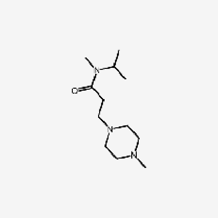 CC(C)N(C)C(=O)CCN1CCN(C)CC1